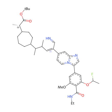 CCNC(=O)c1c(OC)cc(-c2cnc3cc(/C(C=N)=C/C(C)C(C)C4CCCC([C@H](C)C(=O)OC(C)(C)C)CC4)ccn23)cc1OC(C)F